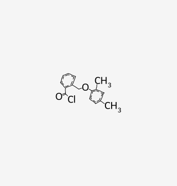 Cc1ccc(OCc2ccccc2C(=O)Cl)c(C)c1